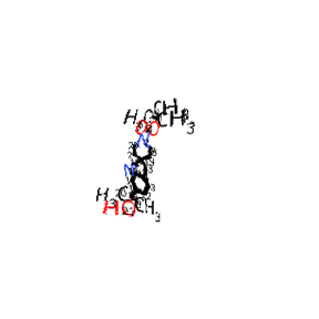 CC(C)(C)OC(=O)N1CCC(C#N)(Cc2ccc(C(C)(C)O)cc2)CC1